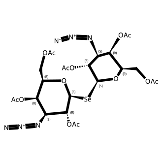 CC(=O)OC[C@H]1O[C@@H]([Se][C@@H]2O[C@H](COC(C)=O)[C@H](OC(C)=O)[C@H](N=[N+]=[N-])[C@H]2OC(C)=O)[C@H](OC(C)=O)[C@@H](N=[N+]=[N-])[C@H]1OC(C)=O